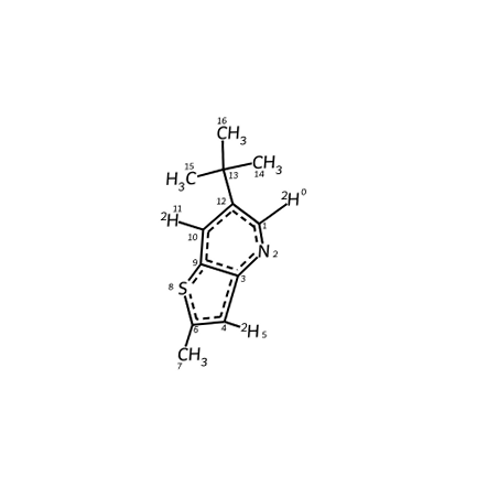 [2H]c1nc2c([2H])c(C)sc2c([2H])c1C(C)(C)C